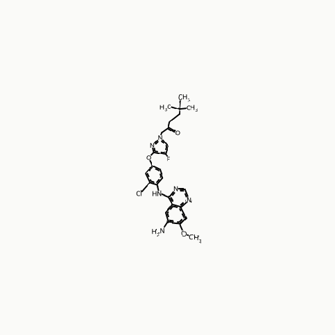 COc1cc2ncnc(Nc3ccc(Oc4nn(CC(=O)CCC(C)(C)C)cc4F)cc3Cl)c2cc1N